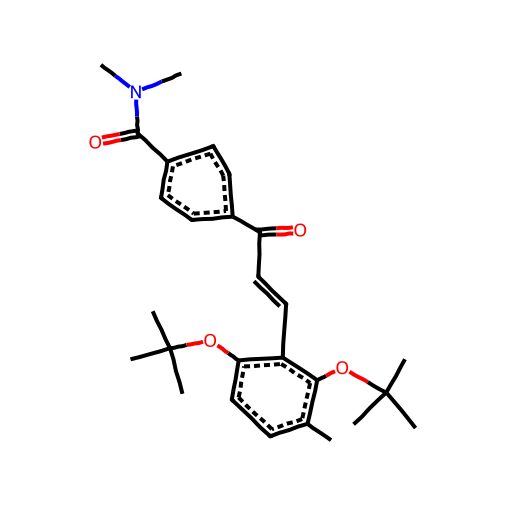 Cc1ccc(OC(C)(C)C)c(/C=C/C(=O)c2ccc(C(=O)N(C)C)cc2)c1OC(C)(C)C